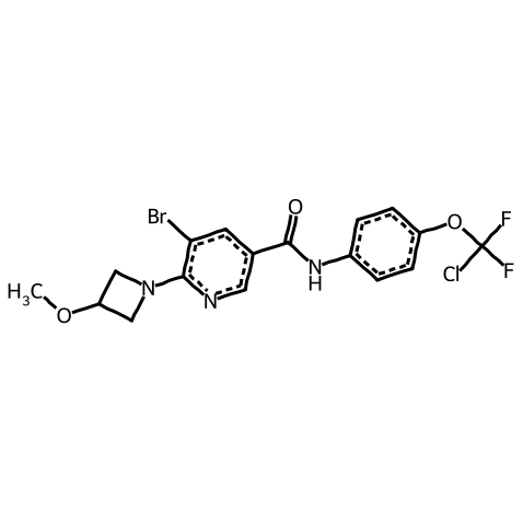 COC1CN(c2ncc(C(=O)Nc3ccc(OC(F)(F)Cl)cc3)cc2Br)C1